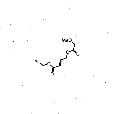 COCC(=O)OCC=CC(=O)OCC(C)=O